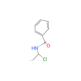 [CH2]C(Cl)NC(=O)c1ccccc1